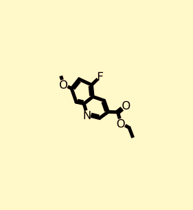 CCOC(=O)c1cnc2cc(OC)cc(F)c2c1